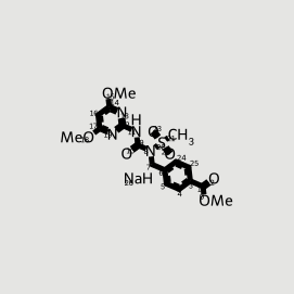 COC(=O)c1ccc(CN(C(=O)Nc2nc(OC)cc(OC)n2)S(C)(=O)=O)cc1.[NaH]